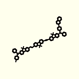 Cc1ccc(N(c2ccccc2)c2ccc3c(c2)C(C)(C)c2cc(/C=C/c4ccc5c(c4)C(C)(C)c4cc(C#Cc6ccc7c(c6)C(C)(C)c6cc(N(c8ccccc8)c8ccc(-c9ccc%10ccccc%10c9)cc8)ccc6-7)ccc4-5)ccc2-3)cc1